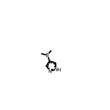 CB(C)c1cn[nH]c1